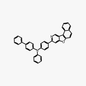 c1ccc(-c2ccc(N(c3ccccc3)c3ccc(-c4cc5oc6ccc7ccccc7c6c5cn4)cc3)cc2)cc1